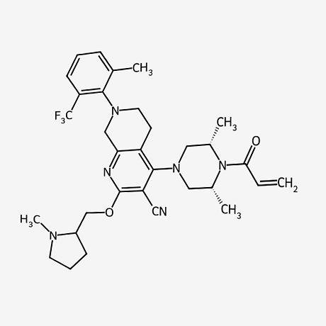 C=CC(=O)N1[C@H](C)CN(c2c(C#N)c(OCC3CCCN3C)nc3c2CCN(c2c(C)cccc2C(F)(F)F)C3)C[C@@H]1C